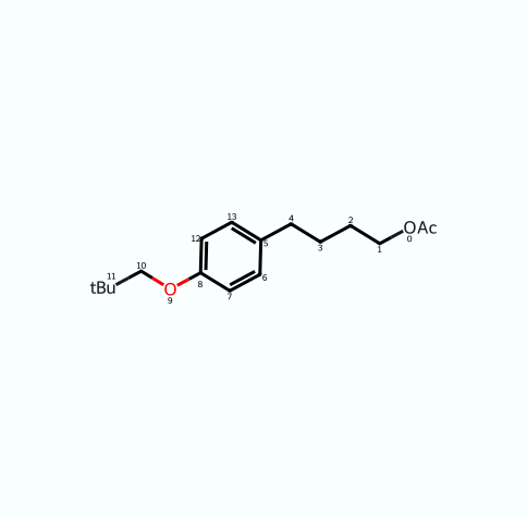 CC(=O)OCCCCc1ccc(OCC(C)(C)C)cc1